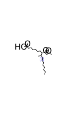 CCCCCC/C=C/C(C)C(CCCCCCC(=O)O)C1CC(C)OO1